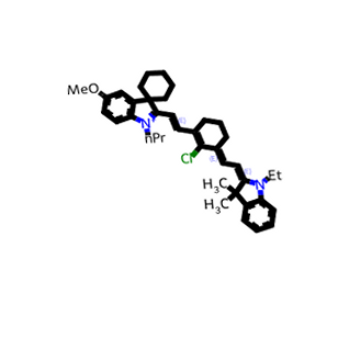 CCC[N+]1=C(/C=C/C2=C(Cl)C(=C/C=C3/N(CC)c4ccccc4C3(C)C)/CCC2)C2(CCCCC2)c2cc(OC)ccc21